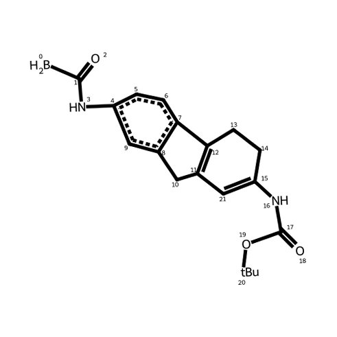 BC(=O)Nc1ccc2c(c1)CC1=C2CCC(NC(=O)OC(C)(C)C)=C1